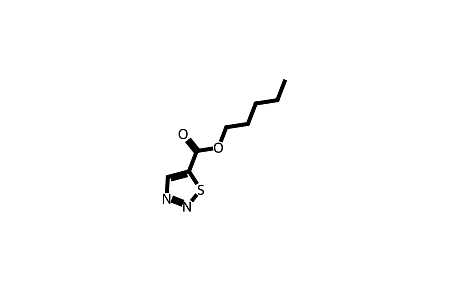 CCCCCOC(=O)c1cnns1